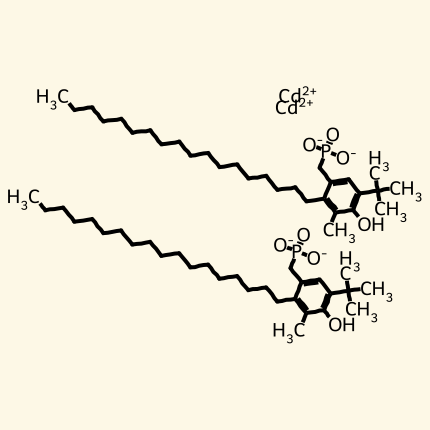 CCCCCCCCCCCCCCCCCCc1c(CP(=O)([O-])[O-])cc(C(C)(C)C)c(O)c1C.CCCCCCCCCCCCCCCCCCc1c(CP(=O)([O-])[O-])cc(C(C)(C)C)c(O)c1C.[Cd+2].[Cd+2]